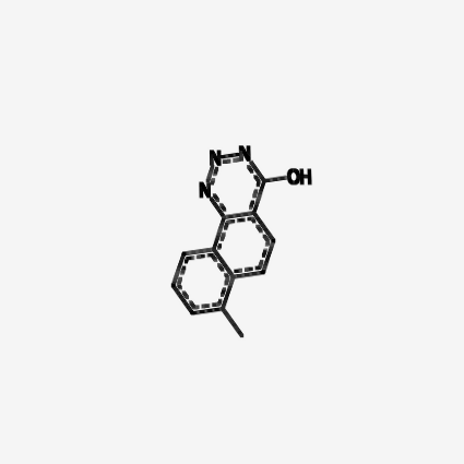 Cc1cccc2c1ccc1c(O)nnnc12